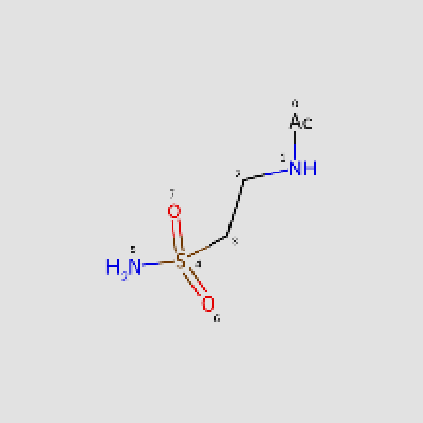 CC(=O)NCCS(N)(=O)=O